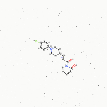 O=C1C=CCCN1C(=O)/C=C/C1CCN(c2ccc(F)cc2)CC1